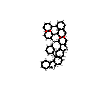 c1ccc(-c2cccc3cccc(-c4ccccc4N(c4cccc(-c5cccc6oc7ccccc7c56)c4)c4cccc5sc6ccccc6c45)c23)cc1